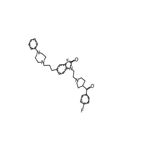 O=C(c1ccc(F)cc1)C1CCN(CCn2c(=O)sc3cc(CCCN4CCN(c5ccccc5)CC4)ccc32)CC1